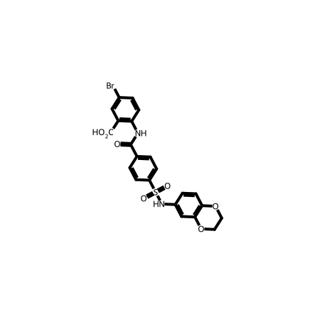 O=C(Nc1ccc(Br)cc1C(=O)O)c1ccc(S(=O)(=O)Nc2ccc3c(c2)OCCO3)cc1